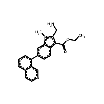 CCOC(=O)c1c(CN)n(C)c2cc(-c3cccc4ccncc34)ccc12